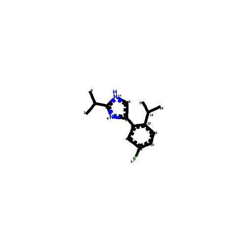 CC(C)c1nc(-c2cc(F)ccc2C(C)C)c[nH]1